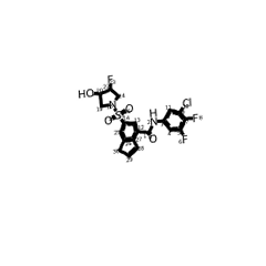 O=C(Nc1cc(F)c(F)c(Cl)c1)c1cc(S(=O)(=O)N2CC(O)C(F)C2)cc2c1C=CC2